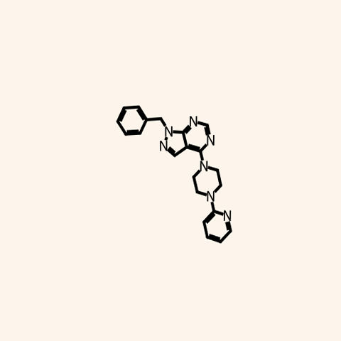 c1ccc(Cn2ncc3c(N4CCN(c5ccccn5)CC4)ncnc32)cc1